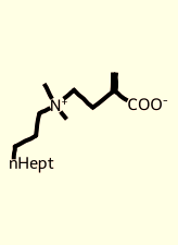 C=C(CC[N+](C)(C)CCCCCCCCCC)C(=O)[O-]